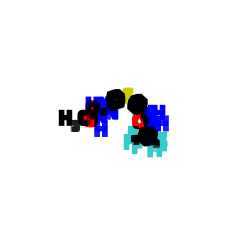 COC(=O)Nc1nc2cc(Sc3ccc(NC(=O)Nc4cc(C(F)(F)F)cc(C(F)(F)F)c4)cc3)ccc2[nH]1